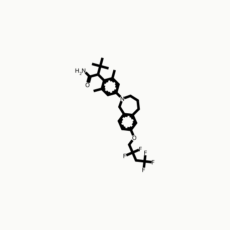 Cc1cc(N2CCCc3cc(OCC(F)(F)CC(F)(F)F)ccc3C2)cc(C)c1C(C(N)=O)C(C)(C)C